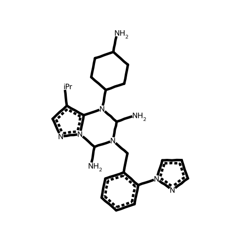 CC(C)c1cnn2c1N(C1CCC(N)CC1)C(N)N(Cc1ccccc1-n1cccn1)C2N